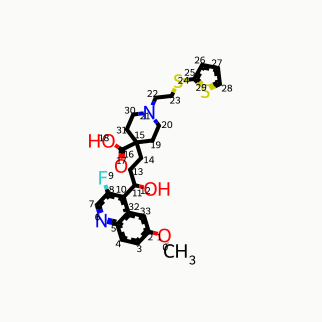 COc1ccc2ncc(F)c(C(O)CCC3(C(=O)O)CCN(CCSc4cccs4)CC3)c2c1